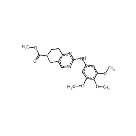 COC(=O)N1CCc2nc(Nc3cc(OC)c(OC)c(OC)c3)ncc2C1